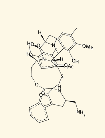 COc1c(C)cc2c(c1O)C1[C@@H]3[C@@H]4SC[C@]5(N[C@@H](CN)Cc6c5oc5ccccc65)C(=O)OCC[C@@H](c5c6c(c(C)c(OC(C)=O)c54)OCO6)N3[C@@H](O)[C@H](C2)N1C